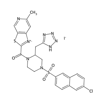 Cc1cc2c(cn1)SC(C(=O)N1CCN(S(=O)(=O)c3ccc4cc(Cl)ccc4c3)CC1Cc1nnn[nH]1)=[N+]2.[I-]